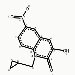 O=c1c(O)cc2cc([N+](=O)[O-])ccc2n1CC1CC1